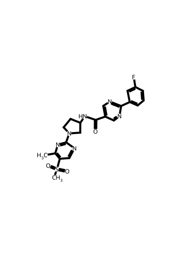 Cc1nc(N2CCC(NC(=O)c3cnc(-c4cccc(F)c4)nc3)C2)ncc1S(C)(=O)=O